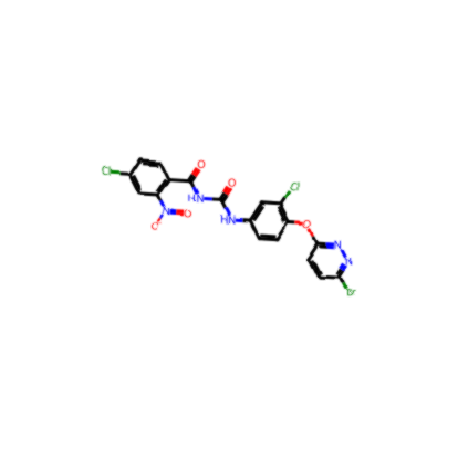 O=C(NC(=O)c1ccc(Cl)cc1[N+](=O)[O-])Nc1ccc(Oc2ccc(Br)nn2)c(Cl)c1